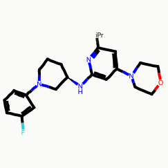 CC(C)c1cc(N2CCOCC2)cc(N[C@@H]2CCCN(c3cccc(F)c3)C2)n1